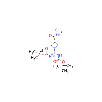 CNC(=O)C1CN(/C(=N\C(=O)OC(C)(C)C)NC(=O)OC(C)(C)C)C1